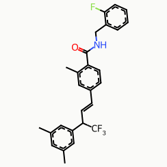 Cc1cc(C)cc(C(/C=C/c2ccc(C(=O)NCc3ccccc3F)c(C)c2)C(F)(F)F)c1